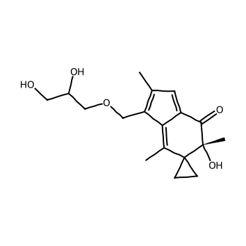 CC1=C(COCC(O)CO)C2=C(C)C3(CC3)[C@@](C)(O)C(=O)C2=C1